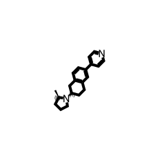 C[C@@H]1CCCN1[C@@H]1CCc2cc(-c3ccncc3)ccc2C1